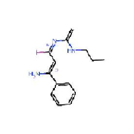 C=C(/N=C(I)\C=C(/N)c1ccccc1)NCCC